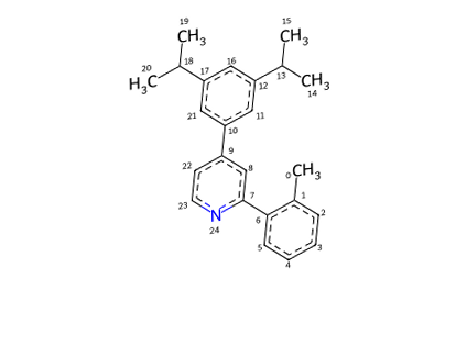 Cc1ccccc1-c1cc(-c2cc(C(C)C)cc(C(C)C)c2)ccn1